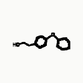 OCCc1ccc(Oc2ccccc2)cc1